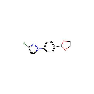 Fc1ccn(-c2ccc(C3OCCO3)cc2)n1